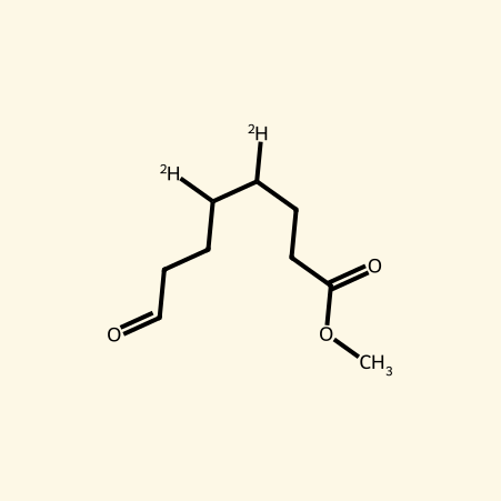 [2H]C(CCC=O)C([2H])CCC(=O)OC